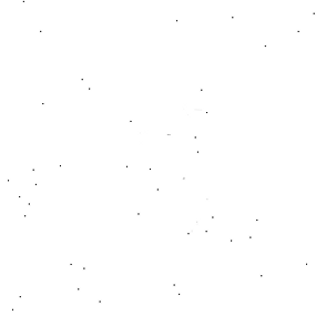 CC(C)C=CCS